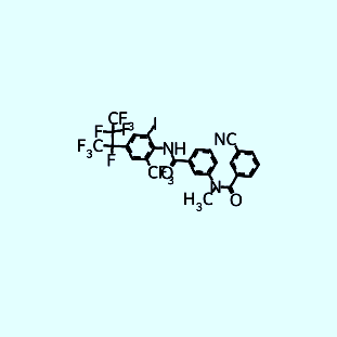 CN(C(=O)c1cccc(C#N)c1)c1cccc(C(=O)Nc2c(I)cc(C(F)(C(F)(F)F)C(F)(F)C(F)(F)F)cc2C(F)(F)F)c1